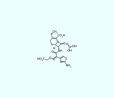 C=CC1=C(C(=O)O)N2C(=O)[C@@H](NC(=O)/C(=N\OCC(=O)O)c3csc(N)n3)[C@H]2SC1.O=[Te](O)O